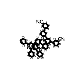 N#Cc1cccc(-c2ccc3c(c2)c2cc(-c4cccc(C#N)c4)ccc2n3-c2ccc(-c3cc(-c4ccccc4)nc(-c4ccccc4)n3)cc2-c2ccccc2-n2c3ccccc3c3ccccc32)c1